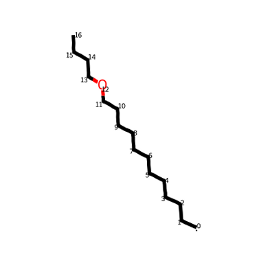 [CH2]CCCCCCCCCCCOCCCC